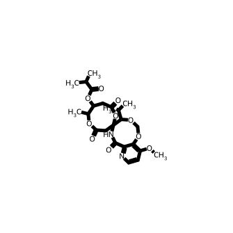 COc1ccnc2c1OCOC(C(C)C)C1(CC(=O)OC(C)C(OC(=O)C(C)C)CC(=O)O1)NC2=O